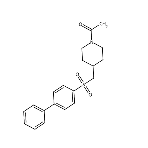 CC(=O)N1CCC(CS(=O)(=O)c2ccc(-c3ccccc3)cc2)CC1